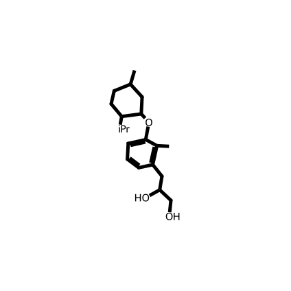 Cc1c(CC(O)CO)cccc1OC1CC(C)CCC1C(C)C